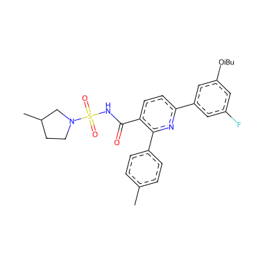 Cc1ccc(-c2nc(-c3cc(F)cc(OCC(C)C)c3)ccc2C(=O)NS(=O)(=O)N2CCC(C)C2)cc1